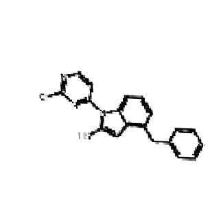 Sc1cc2c(Cc3ccccc3)cccc2n1-c1ccnc(Cl)n1